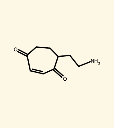 NCCC1CCC(=O)C=CC1=O